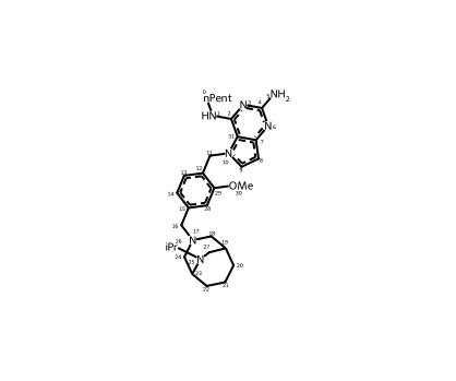 CCCCCNc1nc(N)nc2ccn(Cc3ccc(CN4CC5CCCC(C4)N(C(C)C)C5)cc3OC)c12